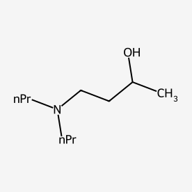 CCCN(CCC)CCC(C)O